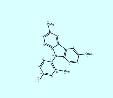 COc1ccc2c(c1)c1cc(OC)ccc1n2-c1ccc(C(F)(F)F)cc1OC